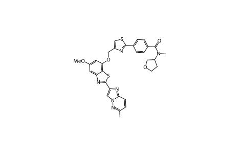 COc1cc(OCc2csc(-c3ccc(C(=O)N(C)C4CCOC4)cc3)n2)c2sc(-c3cn4nc(C)ccc4n3)nc2c1